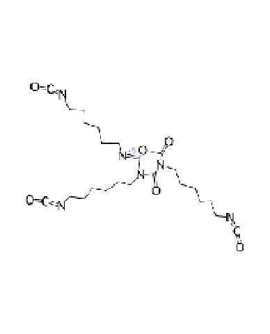 O=C=NCCCCCC/N=c1\oc(=O)n(CCCCCCN=C=O)c(=O)n1CCCCCCN=C=O